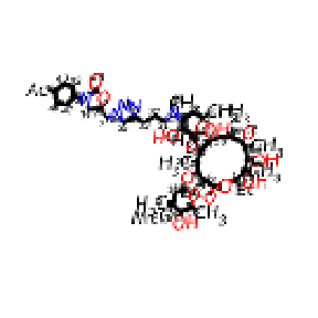 CC[C@H]1OC(=O)[C@H](C)[C@@H](O[C@H]2C[C@@](C)(OC)[C@@H](O)[C@H](C)O2)[C@H](C)[C@@H](O[C@@H]2O[C@H](C)C[C@H](N(C)CCCc3cn(C[C@H]4CN(c5ccc(C(C)=O)cc5)C(=O)O4)nn3)[C@H]2O)[C@](C)(O)C[C@@H](C)C(=O)[C@H](C)[C@@H](O)[C@]1(C)O